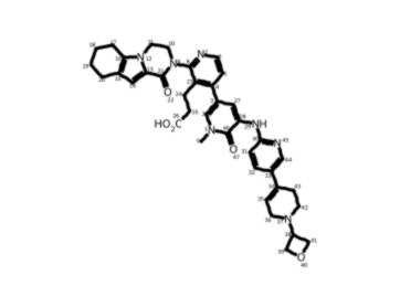 Cn1cc(-c2ccnc(N3CCn4c(cc5c4CCCC5)C3=O)c2CCC(=O)O)cc(Nc2ccc(C3=CCN(C4COC4)CC3)cn2)c1=O